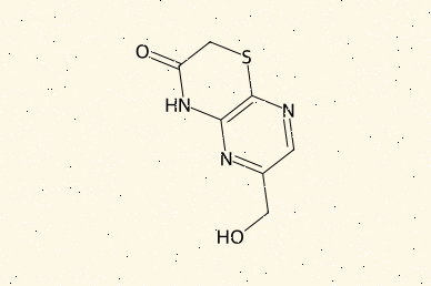 O=C1CSc2ncc(CO)nc2N1